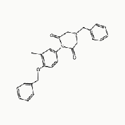 Cc1cc(N2C(=O)CN(Cc3ccccc3)CC2=O)ccc1OCc1ccccc1